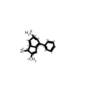 CC1=Cc2c(-c3ccccc3)cc(C)cc2[CH]1[Zr]